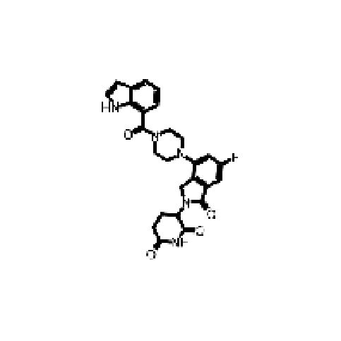 O=C1CCC(N2Cc3c(cc(F)cc3N3CCN(C(=O)c4cccc5cc[nH]c45)CC3)C2=O)C(=O)N1